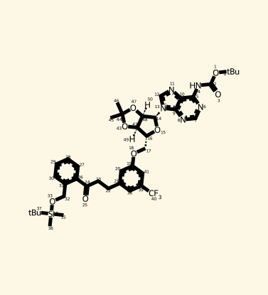 CC(C)(C)OC(=O)Nc1ncnc2c1ncn2[C@@H]1O[C@H](COc2cc(CCC(=O)c3ccccc3CO[Si](C)(C)C(C)(C)C)cc(C(F)(F)F)c2)[C@H]2OC(C)(C)O[C@H]21